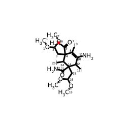 COC(CC1(C(N)=O)C(I)=C(N)C(I)C(CC(OC)OC)(C(N)=O)C1I)OC